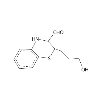 O=CC1Nc2ccccc2SC1CCCO